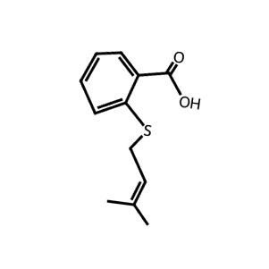 CC(C)=CCSc1ccccc1C(=O)O